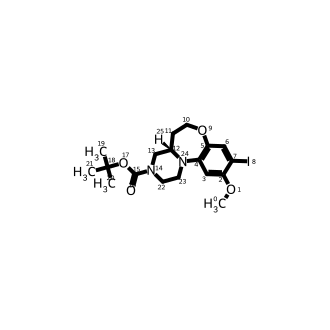 COc1cc2c(cc1I)OCC[C@H]1CN(C(=O)OC(C)(C)C)CCN21